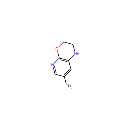 Cc1cnc2c(c1)NCCO2